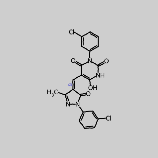 CC1=NN(c2cccc(Cl)c2)C(=O)/C1=C\c1c(O)[nH]c(=O)n(-c2cccc(Cl)c2)c1=O